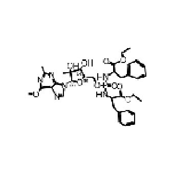 CCOC(=O)C(Cc1ccccc1)NP(=O)(NC(Cc1ccccc1)C(=O)OCC)OC[C@H]1O[C@@H](n2cnc3c(OC)nc(C)nc32)C(C)(O)[C@H]1O